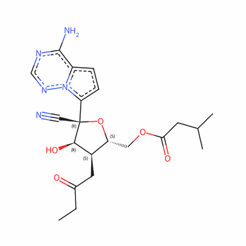 CCC(=O)C[C@H]1[C@@H](O)[C@](C#N)(c2ccc3c(N)ncnn23)O[C@@H]1COC(=O)CC(C)C